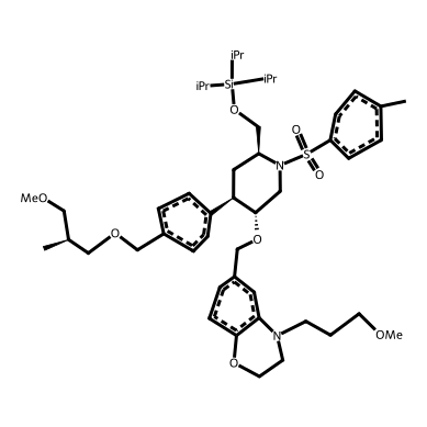 COCCCN1CCOc2ccc(CO[C@H]3CN(S(=O)(=O)c4ccc(C)cc4)[C@H](CO[Si](C(C)C)(C(C)C)C(C)C)C[C@@H]3c3ccc(COC[C@@H](C)COC)cc3)cc21